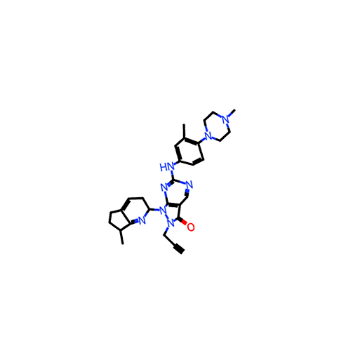 C#CCn1c(=O)c2cnc(Nc3ccc(N4CCN(C)CC4)c(C)c3)nc2n1C1CC=C2CCC(C)C2=N1